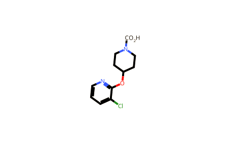 O=C(O)N1CCC(Oc2ncccc2Cl)CC1